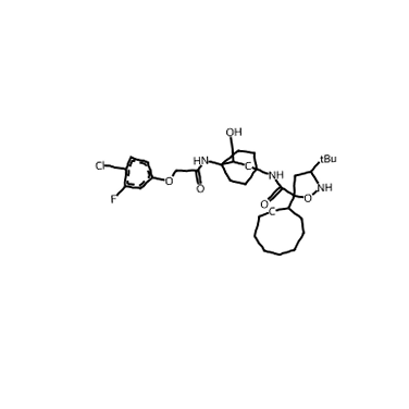 CC(C)(C)C1CC(C(=O)NC23CCC(NC(=O)COc4ccc(Cl)c(F)c4)(CC2)C(O)C3)(C2CCCCCCCC2)ON1